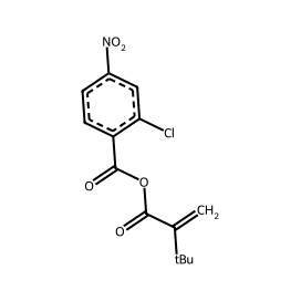 C=C(C(=O)OC(=O)c1ccc([N+](=O)[O-])cc1Cl)C(C)(C)C